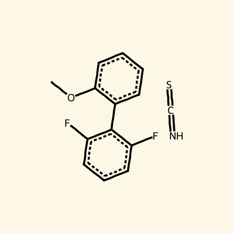 COc1ccccc1-c1c(F)cccc1F.N=C=S